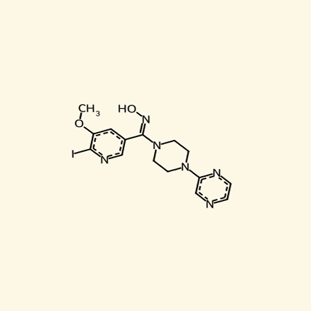 COc1cc(/C(=N\O)N2CCN(c3cnccn3)CC2)cnc1I